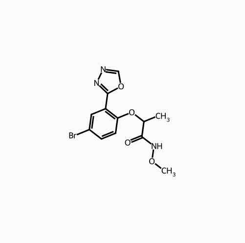 CONC(=O)C(C)Oc1ccc(Br)cc1-c1nnco1